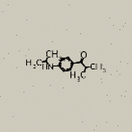 CC(C)Nc1ccc(C(=O)C(C)C)cc1